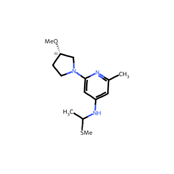 CO[C@H]1CCN(c2cc(NC(C)SC)cc(C)n2)C1